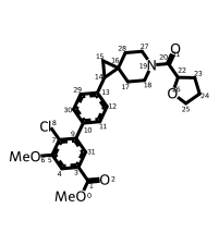 COC(=O)c1cc(OC)c(Cl)c(-c2ccc(C3CC34CCN(C(=O)C3CCCO3)CC4)cc2)c1